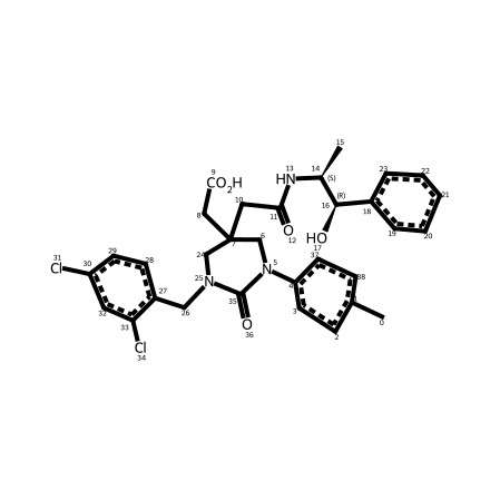 Cc1ccc(N2CC(CC(=O)O)(CC(=O)N[C@@H](C)[C@H](O)c3ccccc3)CN(Cc3ccc(Cl)cc3Cl)C2=O)cc1